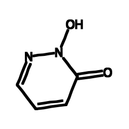 O=c1cccnn1O